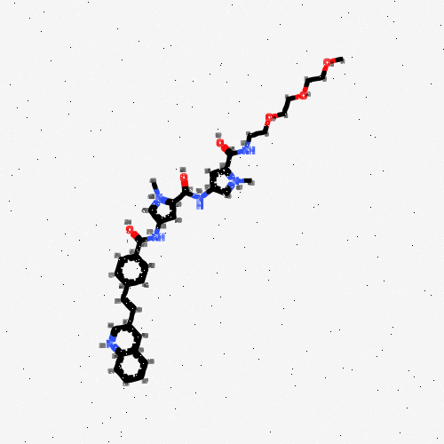 COCCOCCOCCNC(=O)c1cc(NC(=O)c2cc(NC(=O)c3ccc(/C=C/c4cnc5ccccc5c4)cc3)cn2C)cn1C